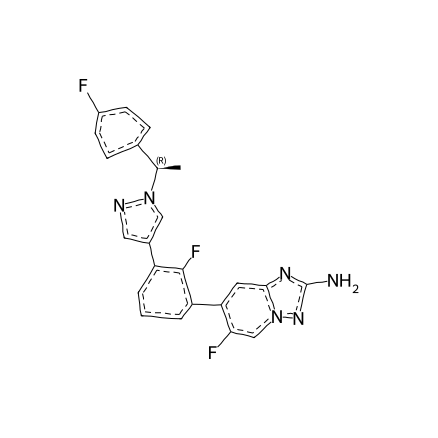 C[C@H](c1ccc(F)cc1)n1cc(-c2cccc(-c3cc4nc(N)nn4cc3F)c2F)cn1